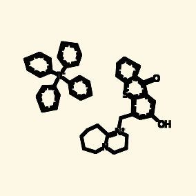 O=c1c2ccccc2sc2c(C[N+]3=C4CCCCCN4CCC3)cc(O)cc12.c1ccc([B-](c2ccccc2)(c2ccccc2)c2ccccc2)cc1